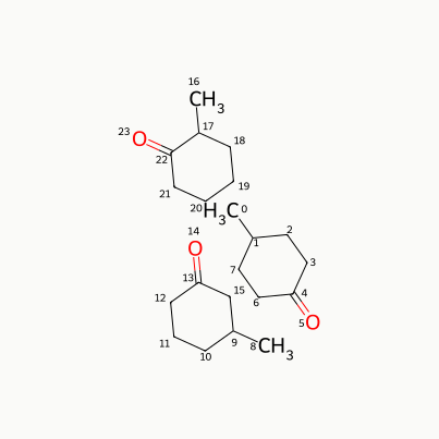 CC1CCC(=O)CC1.CC1CCCC(=O)C1.CC1CCCCC1=O